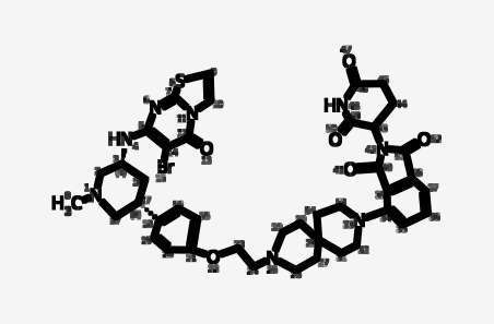 CN1C[C@H](Nc2nc3sccn3c(=O)c2Br)C[C@H](c2ccc(OCCN3CCC4(CC3)CCN(c3cccc5c3C(=O)N(C3CCC(=O)NC3=O)C5=O)CC4)cc2)C1